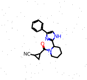 N#CC1CC1C(=O)N1CCCCC1c1nc(-c2ccccc2)c[nH]1